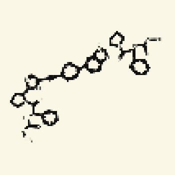 COC(=O)N[C@@H](C(=O)N1CCCC1c1ncc(C#Cc2ccc(-c3ccc4nc([C@@H]5CCCN5C(=O)[C@H](NC(=O)OC)c5ccccc5)[nH]c4c3)cc2)[nH]1)c1ccccc1